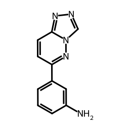 Nc1cccc(-c2ccc3nncn3n2)c1